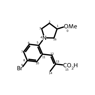 COC1CCN(c2ccc(Br)cc2C=C(C)C(=O)O)C1